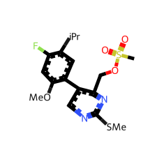 COc1cc(F)c(C(C)C)cc1-c1cnc(SC)nc1COS(C)(=O)=O